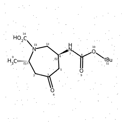 C[C@H]1CC(=O)C[C@H](NC(=O)OC(C)(C)C)CN1C(=O)O